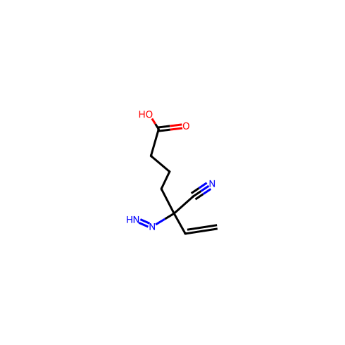 C=CC(C#N)(CCCC(=O)O)N=N